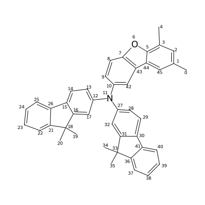 Cc1cc(C)c2oc3ccc(N(c4ccc5c(c4)C(C)(C)c4ccccc4-5)c4ccc5c(c4)C(C)(C)c4ccccc4-5)cc3c2c1